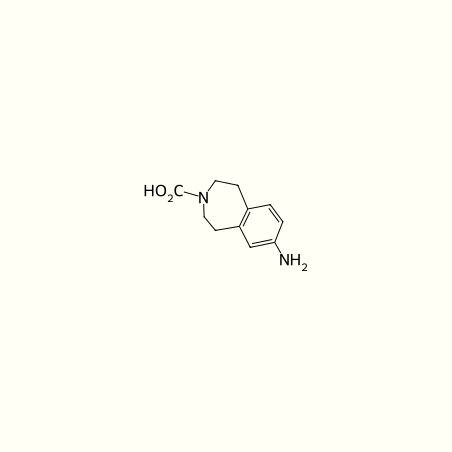 Nc1ccc2c(c1)CCN(C(=O)O)CC2